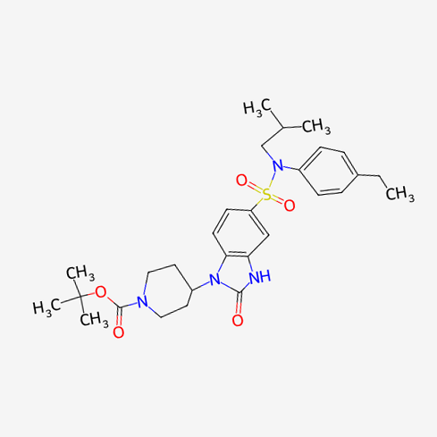 CCc1ccc(N(CC(C)C)S(=O)(=O)c2ccc3c(c2)[nH]c(=O)n3C2CCN(C(=O)OC(C)(C)C)CC2)cc1